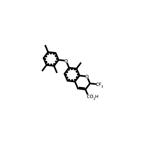 Cc1cc(C)c(C)c(Oc2ccc3c(c2C)OC(C(F)(F)F)C(C(=O)O)=C3)c1